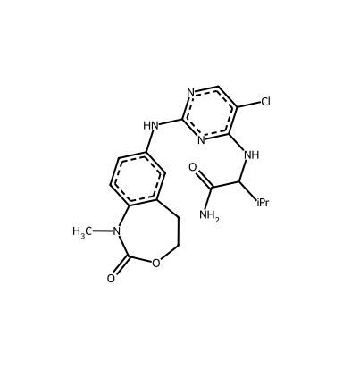 CC(C)C(Nc1nc(Nc2ccc3c(c2)CCOC(=O)N3C)ncc1Cl)C(N)=O